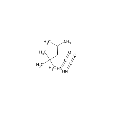 CC(C)CC(C)(C)C.N=C=O.N=C=O